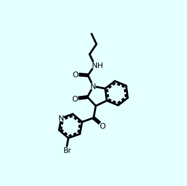 CCCNC(=O)N1C(=O)C(C(=O)c2cncc(Br)c2)c2ccccc21